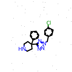 Clc1ccc(Cn2nnc(C3(c4ccccc4)CCNCC3)n2)cc1